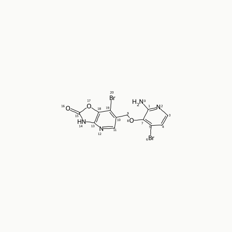 Nc1nccc(Br)c1OCc1cnc2[nH]c(=O)oc2c1Br